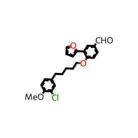 COc1ccc(CCCCCOc2ccc(C=O)cc2-c2ccco2)cc1Cl